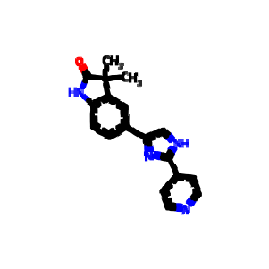 CC1(C)C(=O)Nc2ccc(-c3c[nH]c(-c4ccncc4)n3)cc21